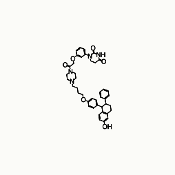 O=C1CCN(c2cccc(OCC(=O)N3CCN(CCCCOc4ccc([C@@H]5c6ccc(O)cc6CC[C@@H]5c5ccccc5)cc4)CC3)c2)C(=O)N1